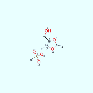 CC1O[C@H](CO)[C@@H](COS(C)(=O)=O)O1